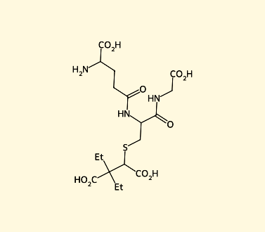 CCC(CC)(C(=O)O)C(SCC(NC(=O)CCC(N)C(=O)O)C(=O)NCC(=O)O)C(=O)O